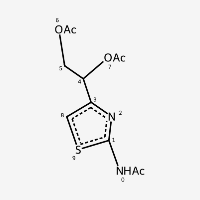 CC(=O)Nc1nc(C(COC(C)=O)OC(C)=O)cs1